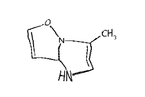 CC1=CNC2C=CON12